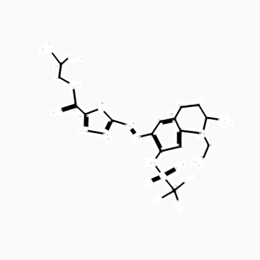 CCN1c2cc(NS(=O)(=O)C(F)(F)F)c(N=Nc3nnc(C(=O)OCC(C)C)s3)cc2CCC1C